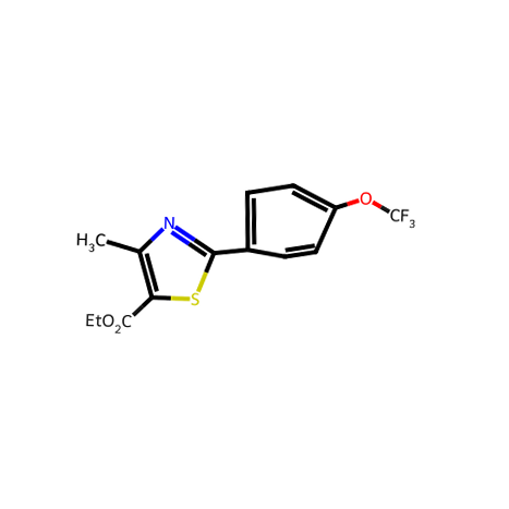 CCOC(=O)c1sc(-c2ccc(OC(F)(F)F)cc2)nc1C